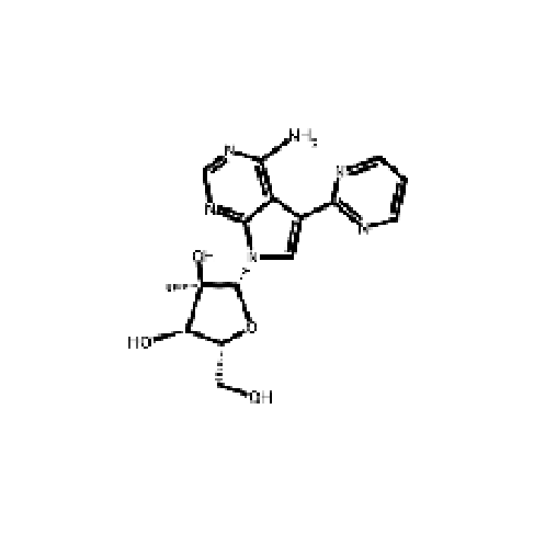 C[C@@]1(O)[C@H](O)[C@@H](CO)O[C@H]1n1cc(-c2ncccn2)c2c(N)ncnc21